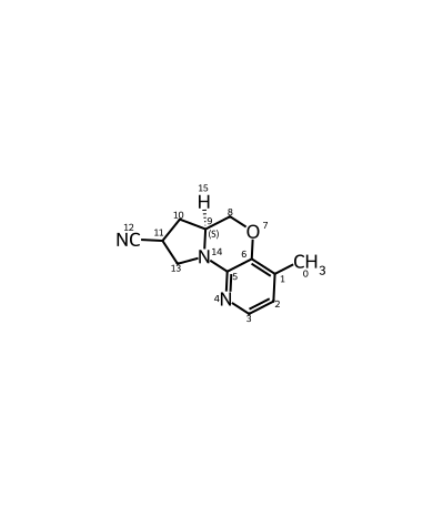 Cc1ccnc2c1OC[C@@H]1CC(C#N)CN21